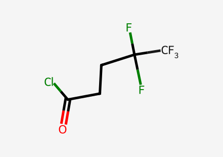 O=C(Cl)CCC(F)(F)C(F)(F)F